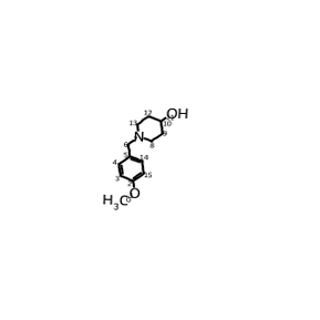 COc1ccc(CN2CCC(O)CC2)cc1